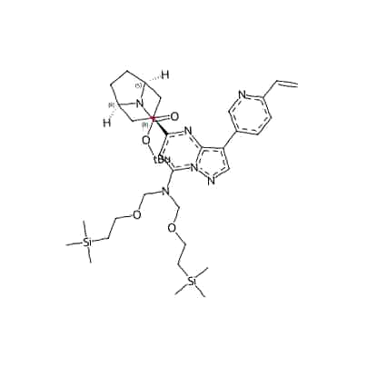 C=Cc1ccc(-c2cnn3c(N(COCC[Si](C)(C)C)COCC[Si](C)(C)C)cc([C@H]4C[C@H]5CC[C@@H](C4)N5C(=O)OC(C)(C)C)nc23)cn1